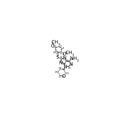 COc1ccc(OC)c(Sc2nc3c(N)ncn(C4CCCOC4)c-3n2)c1